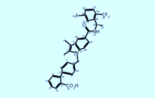 Cc1c(C)n(Cc2ccc(-c3ccccc3C(=O)O)cc2)c2ccc(C(=O)N[C@H](C)c3cc(F)ccc3C(F)(F)F)cc12